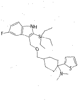 CC[Si](CC)(CC)c1[nH]c2ccc(F)cc2c1COCC1CCC(c2cccs2)(N(C)C)CC1